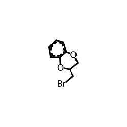 BrC[C@@H]1COc2ccccc2O1